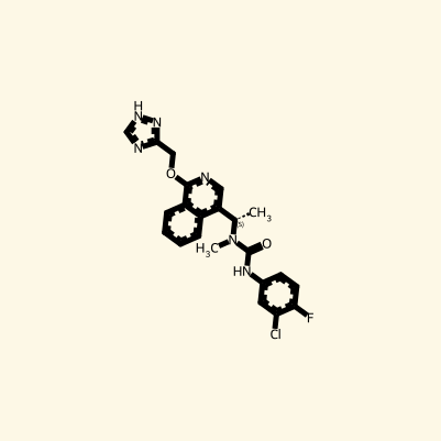 C[C@@H](c1cnc(OCc2nc[nH]n2)c2ccccc12)N(C)C(=O)Nc1ccc(F)c(Cl)c1